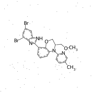 COCC1COc2c(-c3nc4c(Br)cc(Br)cc4[nH]3)cccc2N1c1ccc(C)cn1